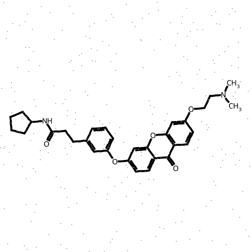 CN(C)CCOc1ccc2c(=O)c3ccc(Oc4cccc(CCC(=O)NC5CCCC5)c4)cc3oc2c1